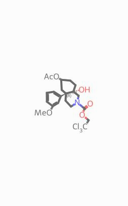 COc1cccc([C@]23CCN(C(=O)OCC(Cl)(Cl)Cl)C[C@]2(O)CCC(OC(C)=O)C3)c1